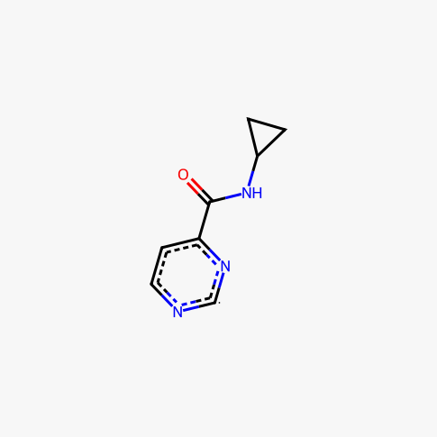 O=C(NC1CC1)c1ccn[c]n1